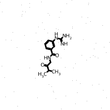 CC(C)C(=O)CNC(=O)c1cccc(NC(=N)N)c1